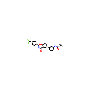 CC(=O)Nc1cccc(-c2ccc3oc(-c4ccc(C(F)(F)F)cc4)nc(=O)c3c2)c1